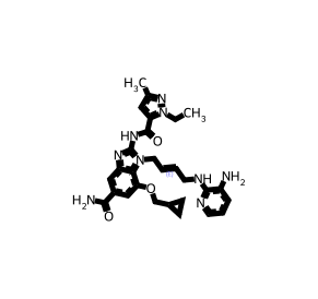 CCn1nc(C)cc1C(=O)Nc1nc2cc(C(N)=O)cc(OCC3CC3)c2n1C/C=C/CNc1ncccc1N